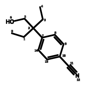 CCC(CC)(CO)c1ccc(C#N)cc1